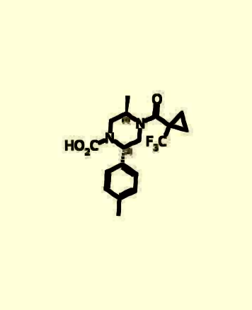 Cc1ccc([C@H]2CN(C(=O)C3(C(F)(F)F)CC3)[C@H](C)CN2C(=O)O)cc1